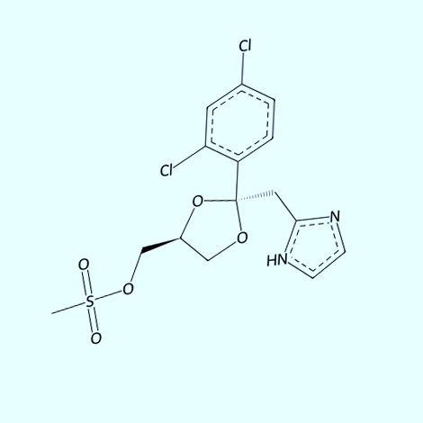 CS(=O)(=O)OC[C@@H]1CO[C@](Cc2ncc[nH]2)(c2ccc(Cl)cc2Cl)O1